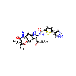 CNC(=O)c1c(NC(=O)c2ccc(-c3cn[nH]c3)s2)[nH]c2cc3c(cc12)OC(C)(C)C(=O)N3